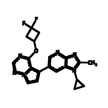 Cc1nc2ncc(-c3ccn4ncnc(OC5CC(F)(F)C5)c34)cc2n1C1CC1